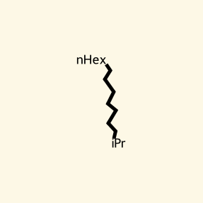 CCCCCCCCCCCCCC(C)C